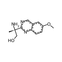 COc1ccc2nc([C@@](C)(N)CO)ncc2c1